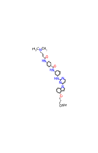 COCCCOc1cccc2c1ccn2-c1ccnc(Nc2cccc(NC(=O)c3ccc(NC(=O)/C=C/CN(C)C)cc3)c2)n1